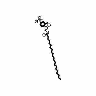 CCCCCCCCCCCCCCCCCCCCCC(=O)OCOc1ccc([N+](=O)[O-])cc1C=O